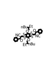 [C-]#[N+]C(C(=O)c1ccccc1)=C1Sc2c(OCC(CC)CCCC)c3c(c(OCC(CC)CCCC)c2S1)SC(=C(C#N)C(=O)c1ccccc1)S3